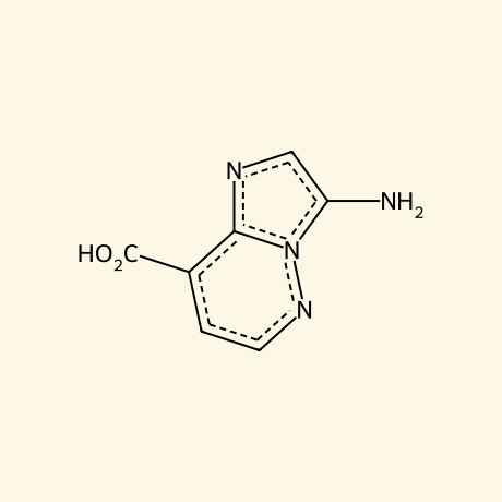 Nc1cnc2c(C(=O)O)ccnn12